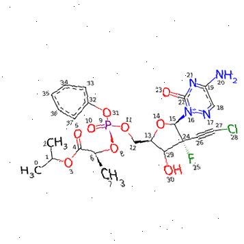 CC(C)OC(=O)[C@H](C)O[P@](=O)(OC[C@H]1O[C@@H](n2ncc(N)nc2=O)[C@@](F)(C#CCl)C1O)Oc1ccccc1